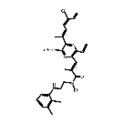 C=C/C(Cl)=C\C=C(/C)c1nc(C=C)c(/C=C(\C)C(=O)N(CC)CCNc2cccc(C)c2C)nc1CCCCC